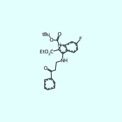 CCOC(=O)c1c(NCCC(=O)c2ccccc2)c2ccc(F)cc2n1C(=O)OC(C)(C)C